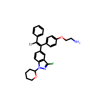 CC/C(=C(/c1ccc(OCCN)cc1)c1ccc2c(c1)c(F)nn2C1CCCCO1)c1ccccc1